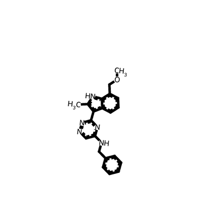 COCc1cccc2c(-c3nncc(NCc4ccccc4)n3)c(C)[nH]c12